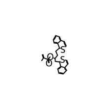 C=C(C)C(=O)OC(CCC1SC=Cc2ccccc21)CC1SC=Cc2ccccc21